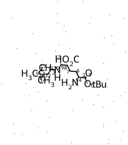 CC(C)(C)OC(=O)C(N)CCC[C@H](NCC[Si](C)(C)C)C(=O)O